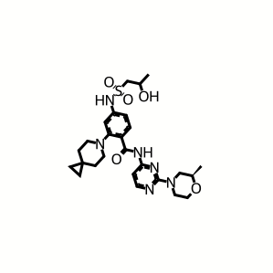 CC(O)CS(=O)(=O)Nc1ccc(C(=O)Nc2ccnc(N3CCO[C@H](C)C3)n2)c(N2CCC3(CC2)CC3)c1